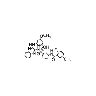 COc1cc(O)cc(Nc2nc3ccccc3nc2NS(=O)(=O)c2cccc(NC(=O)c3cc(C)ccc3F)c2)c1